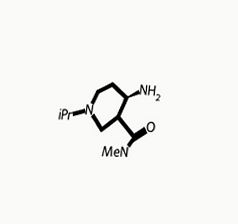 CNC(=O)C1CN(C(C)C)CC[C@H]1N